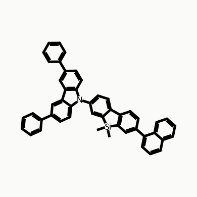 C[Si]1(C)c2cc(-c3cccc4ccccc34)ccc2-c2ccc(-n3c4ccc(-c5ccccc5)cc4c4cc(-c5ccccc5)ccc43)cc21